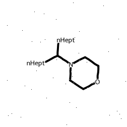 CCCCCCCC(CCCCCCC)N1CCOCC1